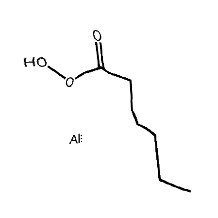 CCCCCC(=O)OO.[Al]